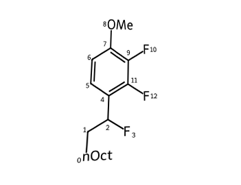 CCCCCCCCCC(F)c1ccc(OC)c(F)c1F